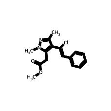 COC(=O)Cc1c(C(Cl)=Cc2ccccc2)c(C)nn1C